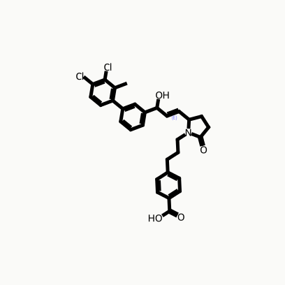 Cc1c(-c2cccc(C(O)/C=C/C3CCC(=O)N3CCCc3ccc(C(=O)O)cc3)c2)ccc(Cl)c1Cl